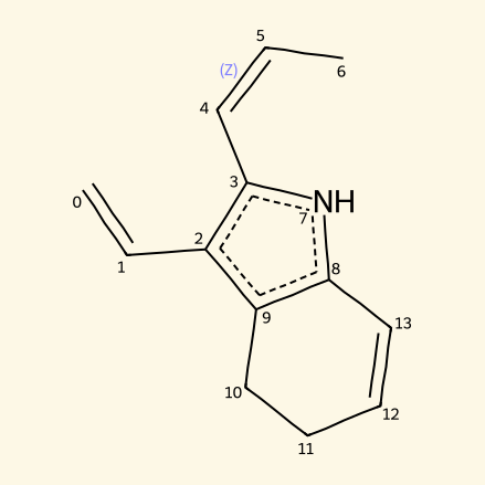 C=Cc1c(/C=C\C)[nH]c2c1CCC=C2